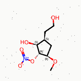 CO[C@@H]1C[C@H](CCO)[C@H](O)[C@H]1O[N+](=O)[O-]